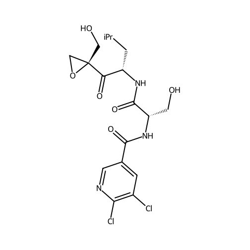 CC(C)C[C@H](NC(=O)[C@H](CO)NC(=O)c1cnc(Cl)c(Cl)c1)C(=O)[C@@]1(CO)CO1